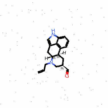 C=CCN1C[C@H](C=O)C[C@@H]2c3cccc4[nH]cc(c34)C[C@H]21